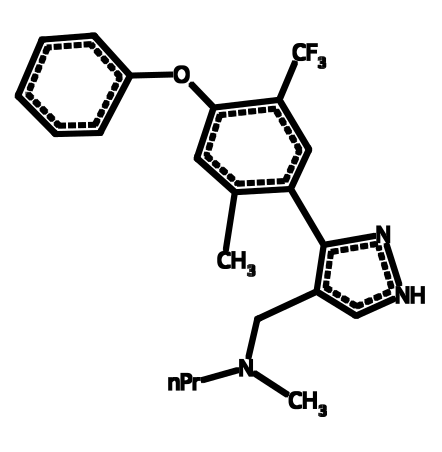 CCCN(C)Cc1c[nH]nc1-c1cc(C(F)(F)F)c(Oc2ccccc2)cc1C